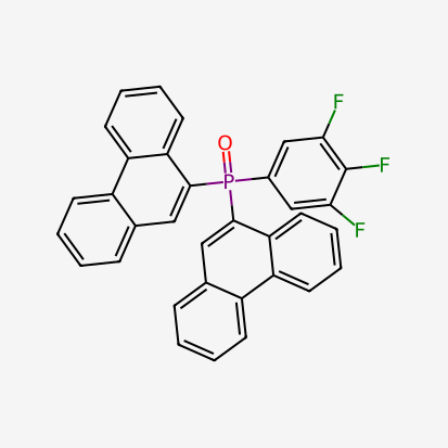 O=P(c1cc(F)c(F)c(F)c1)(c1cc2ccccc2c2ccccc12)c1cc2ccccc2c2ccccc12